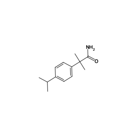 CC(C)c1ccc(C(C)(C)C(N)=O)cc1